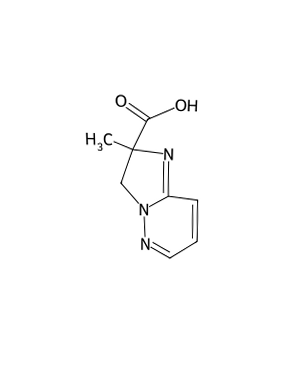 CC1(C(=O)O)CN2N=CC=CC2=N1